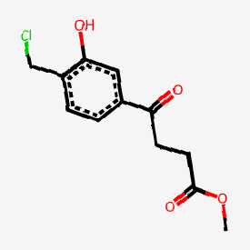 COC(=O)CCC(=O)c1ccc(CCl)c(O)c1